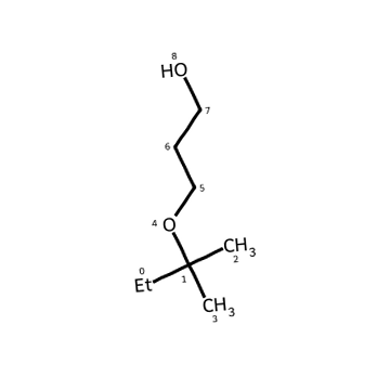 CCC(C)(C)OCCCO